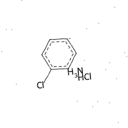 Cl.Clc1cc[c]cc1.N